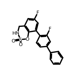 O=S1(=O)NCc2cc(F)cc(-c3ccc(-c4ccccc4)cc3F)c2O1